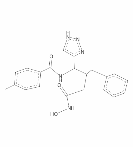 Cc1ccc(C(=O)NC(c2c[nH]nn2)C(CC(=O)NO)Cc2ccccc2)cc1